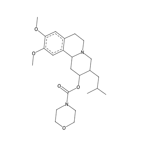 COc1cc2c(cc1OC)C1CC(OC(=O)N3CCOCC3)C(CC(C)C)CN1CC2